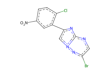 O=[N+]([O-])c1ccc(Cl)c(-c2cn3nc(Br)cnc3n2)c1